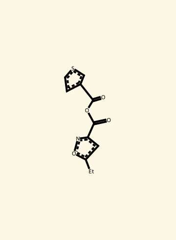 CCc1cc(C(=O)OC(=O)c2ccsc2)no1